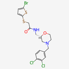 O=C(CSc1ccc(Br)s1)NC[C@H]1CN(Cc2ccc(Cl)c(Cl)c2)CCO1